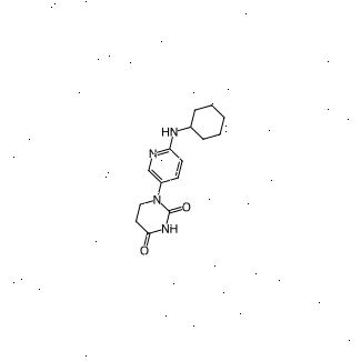 O=C1CCN(c2ccc(NC3CCCCC3)nc2)C(=O)N1